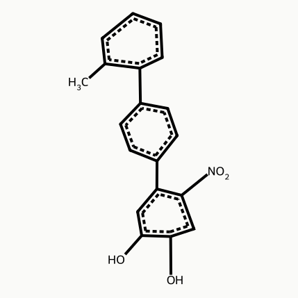 Cc1ccccc1-c1ccc(-c2cc(O)c(O)cc2[N+](=O)[O-])cc1